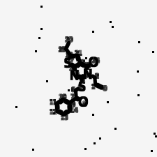 C=CCn1c(SCC(=O)c2ccccc2)nc2sc(CC)cc2c1=O